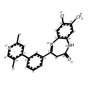 Cc1cc(-c2cccc(C3=Nc4cc(Cl)c(C(F)(F)F)cc4NC(=O)C3)c2)c(C)cn1